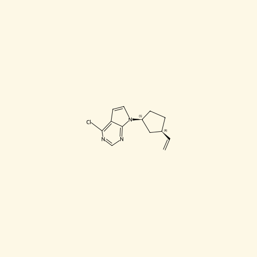 C=C[C@@H]1CC[C@H](n2ccc3c(Cl)ncnc32)C1